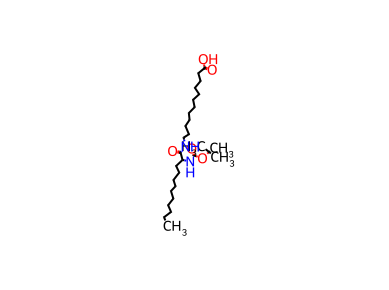 CCCCCCCCCCC(NC(=O)OC(C)(C)C)C(=O)NCCCCCCCCCCCC(=O)O